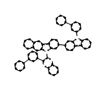 c1ccc(-c2cccc(-c3nc4ccccc4nc3-n3c4cc(-c5ccc6c7ccccc7n(-c7cccc(-c8ccccc8)c7)c6c5)ccc4c4cc5ccccc5cc43)c2)cc1